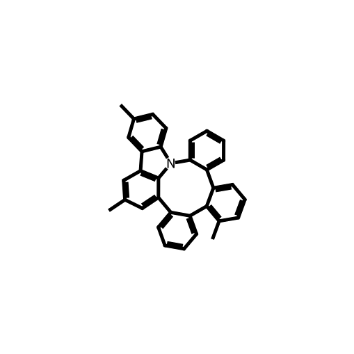 Cc1ccc2c(c1)c1cc(C)cc3c4ccccc4c4c(C)cccc4c4ccccc4n2c31